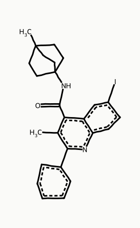 Cc1c(-c2ccccc2)nc2ccc(I)cc2c1C(=O)NC12CCC(C)(CC1)CC2